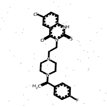 C=C(c1ccc(F)cc1)N1CCN(CCn2c(=S)[nH]c3ccc(Cl)cc3c2=O)CC1